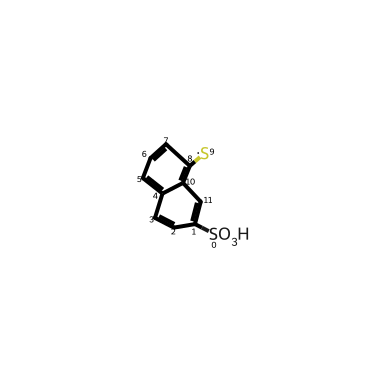 O=S(=O)(O)c1ccc2cccc([S])c2c1